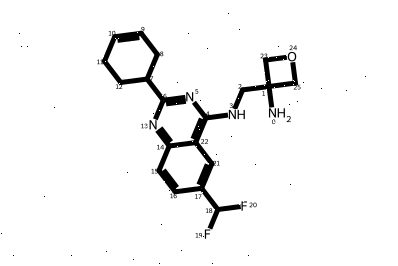 NC1(CNc2nc(C3CC=CCC3)nc3ccc(C(F)F)cc23)COC1